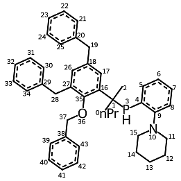 CCCC(C)(Pc1ccccc1N1CCCCC1)c1cc(Cc2ccccc2)cc(Cc2ccccc2)c1OCc1ccccc1